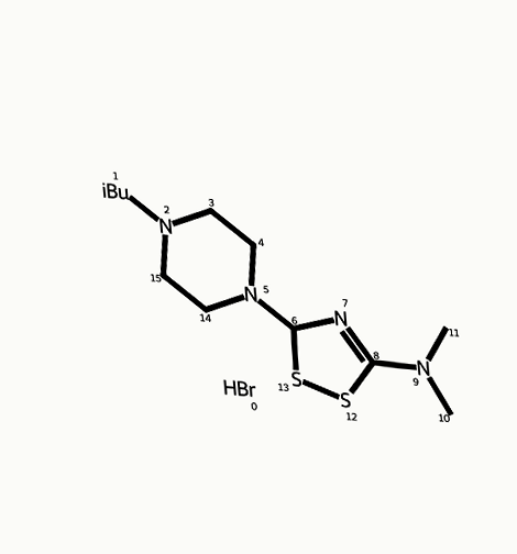 Br.CCC(C)N1CCN(C2N=C(N(C)C)SS2)CC1